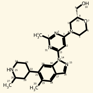 Cc1nc(N2CCO[C@@H](CO)C2)cc(-n2ncc3cc(C)c(C4CCNC(C)C4)cc32)n1